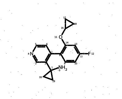 NC1(c2cnccc2-c2ccc(F)cc2OC2CC2)CC1